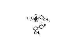 Cc1cccc(-c2ccc(F)c(OCc3c(C)cccc3-n3nnn(C)c3=O)c2)c1